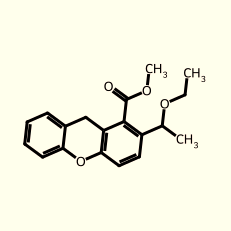 CCOC(C)c1ccc2c(c1C(=O)OC)Cc1ccccc1O2